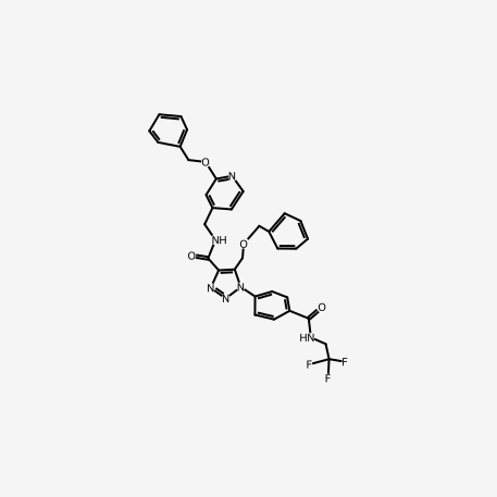 O=C(NCC(F)(F)F)c1ccc(-n2nnc(C(=O)NCc3ccnc(OCc4ccccc4)c3)c2COCc2ccccc2)cc1